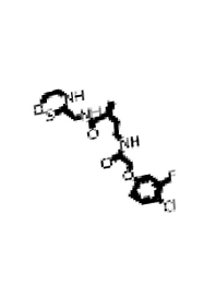 C=C(CCNC(=O)COc1ccc(Cl)c(F)c1)C(=O)NCC1NCCOS1